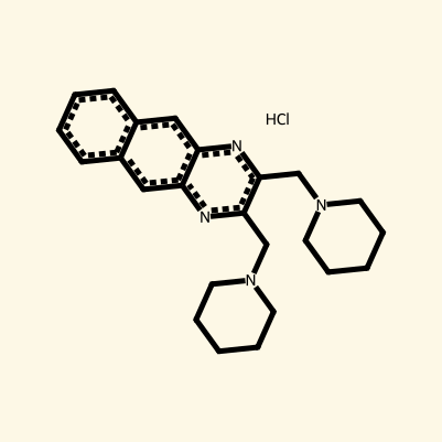 Cl.c1ccc2cc3nc(CN4CCCCC4)c(CN4CCCCC4)nc3cc2c1